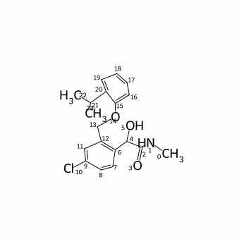 CNC(=O)C(O)c1ccc(Cl)cc1COc1ccccc1C(C)C